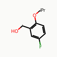 CC(C)Oc1ccc(F)cc1[CH]O